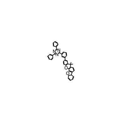 CC1(C)c2cc(-c3cccc(-c4nc(-c5ccccc5)nc(-c5ccccc5)n4)c3)ccc2Oc2c1ccc1c2OC2C=CC=CC12